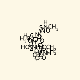 C=C[C@@H]1C[C@]1(NC(=O)[C@@H]1C[C@@H](Oc2cc(-c3csc(NC(C)=O)n3)nc3c(C)c(OC)ccc23)CN1C(=O)[C@@H](NC(=O)OC1CCCC1)C(C)(C)C)C(=O)O